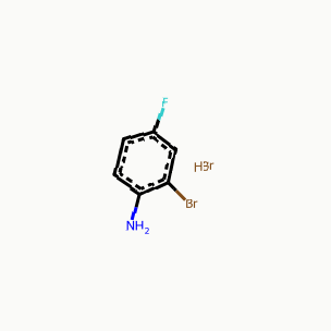 Br.Nc1ccc(F)cc1Br